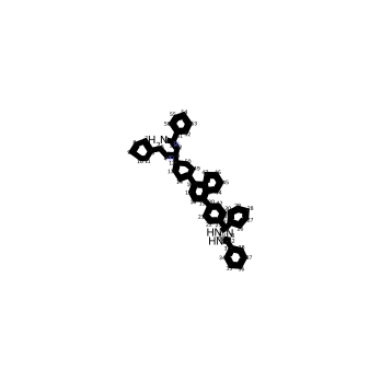 N/C(=C\C(=C/CC1=CC=CCC1)C1=CC=C(c2ccc(-c3ccc(C4(c5ccccc5)N=C(c5ccccc5)NN4)cc3)c3ccccc23)CC1)c1ccccc1